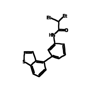 CCC(CC)C(=O)Nc1cccc(-c2cccc3sccc23)c1